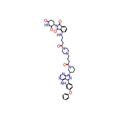 Nc1ncnc2c1c(-c1ccc(Oc3ccccc3)cc1)nn2C1CCCN(C(=O)CCCN2CCN(C(=O)CCCNc3cccc4c3C(=O)N(C3CCC(=O)NC3=O)C4=O)CC2)C1